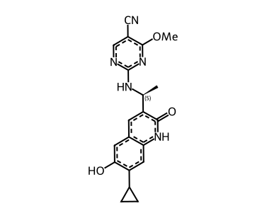 COc1nc(N[C@@H](C)c2cc3cc(O)c(C4CC4)cc3[nH]c2=O)ncc1C#N